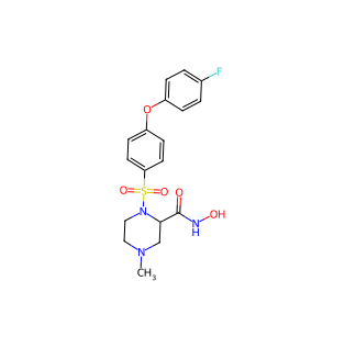 CN1CCN(S(=O)(=O)c2ccc(Oc3ccc(F)cc3)cc2)C(C(=O)NO)C1